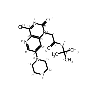 CC(C)(C)OC(=O)Cn1c(=O)nc(Cl)c2ncc(N3CCOCC3)cc21